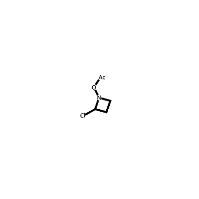 CC(=O)ON1CCC1Cl